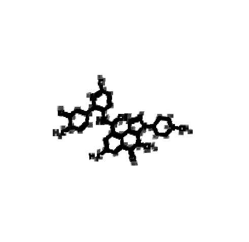 Cc1cc(C(C)Nc2ccc(Cl)nc2-c2ccn(C)c(=O)c2)c2c(c1)c(=O)n(C)c1c2cnn1C1CCN(C)CC1